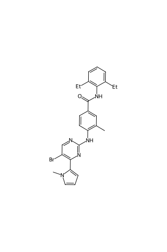 CCc1cccc(CC)c1NC(=O)c1ccc(Nc2ncc(Br)c(-c3cccn3C)n2)c(C)c1